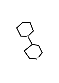 [CH]1CCN(C2CCOCC2)CC1